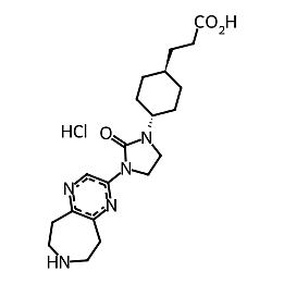 Cl.O=C(O)CC[C@H]1CC[C@H](N2CCN(c3cnc4c(n3)CCNCC4)C2=O)CC1